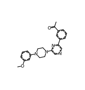 COc1cccc(N2CCN(c3cncc(-c4cccc(C(C)=O)c4)n3)CC2)c1